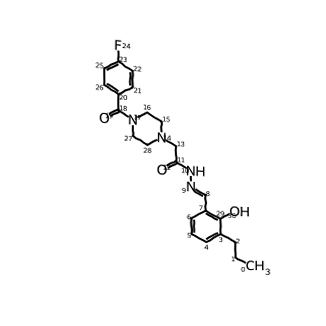 CCCc1cccc(/C=N/NC(=O)CN2CCN(C(=O)c3ccc(F)cc3)CC2)c1O